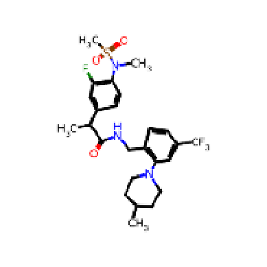 CC1CCN(c2cc(C(F)(F)F)ccc2CNC(=O)C(C)c2ccc(N(C)S(C)(=O)=O)c(F)c2)CC1